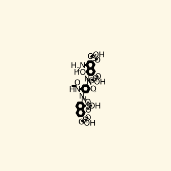 COc1cc(/N=N/c2ccc3ccc(S(=O)(=O)O)cc3c2S(=O)(=O)O)c(NC(C)=O)cc1/N=N/c1c(S(=O)(=O)O)cc2cc(S(=O)(=O)O)cc(N)c2c1O